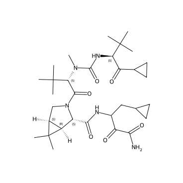 CN(C(=O)N[C@H](C(=O)C1CC1)C(C)(C)C)[C@H](C(=O)N1C[C@H]2[C@@H]([C@H]1C(=O)NC(CC1CC1)C(=O)C(N)=O)C2(C)C)C(C)(C)C